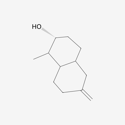 C=C1CCC2C(CC[C@@H](O)C2C)C1